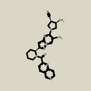 Cc1cn2nc([C@@H]3CCCCN3C(=O)c3ccc4cnccc4n3)cc2nc1N1C[C@@H](C#N)[C@@H](C)C1